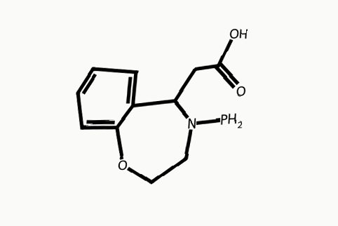 O=C(O)CC1c2ccccc2OCCN1P